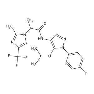 Cc1nc(C(F)(F)F)cn1C(C)C(=O)Nc1cnn(-c2ccc(F)cc2)c1OC(C)C